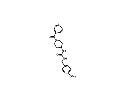 COc1ccc(CNC(=O)NC2CCN(C(=O)c3ccncc3)CC2)cc1